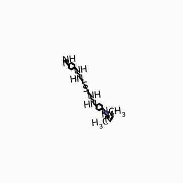 Cn1cc[n+](C)c1/N=N/c1ccc(NCCNCCSSCCNCCNc2ccc(N=N)cc2)cc1